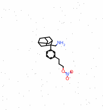 NCC1(c2cccc(CCCO[N+](=O)[O-])c2)C2CC3CC(C2)CC1C3